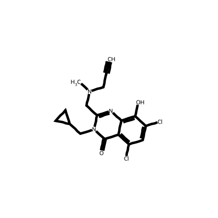 C#CCN(C)Cc1nc2c(O)c(Cl)cc(Cl)c2c(=O)n1CC1CC1